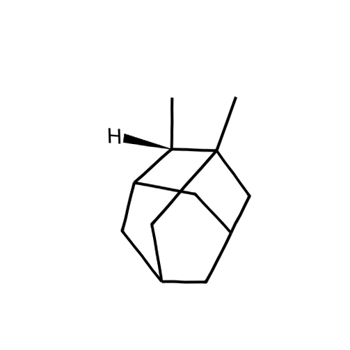 C[C@H]1C2CC3CC(C2)CC1(C)C3